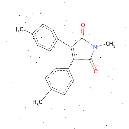 Cc1ccc(C2=C(c3ccc(C)cc3)C(=O)N(C)C2=O)cc1